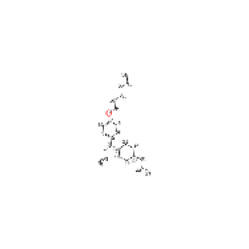 C=CCC(c1ccc(OCCCCCC)cc1)[C@H]1CC[C@H](CCC)CC1